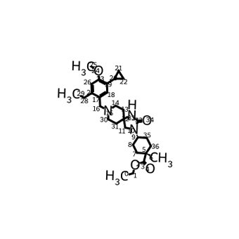 CCOC(=O)[C@]1(C)CC[C@H](N2CC3(CCN(Cc4cc(C5CC5)c(OC)cc4CC)CC3)NC2=O)CC1